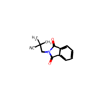 CC(C)(C#N)CN1C(=O)c2ccccc2C1=O